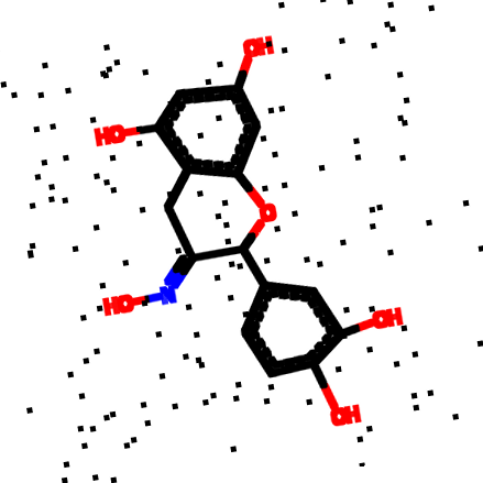 O/N=C1\Cc2c(O)cc(O)cc2OC1c1ccc(O)c(O)c1